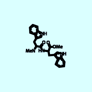 CNC(Cc1c[nH]c2ccccc12)C(=O)NC(Cc1c[nH]c2ccccc12)C(=O)OC